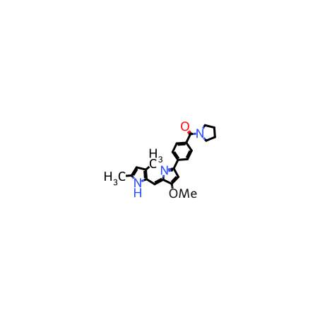 COC1=CC(c2ccc(C(=O)N3CCCC3)cc2)=N/C1=C\c1[nH]c(C)cc1C